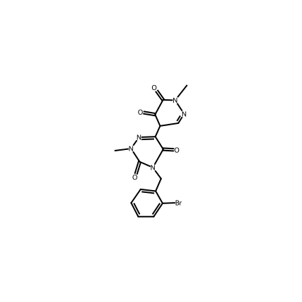 CN1N=CC(c2nn(C)c(=O)n(Cc3ccccc3Br)c2=O)C(=O)C1=O